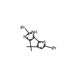 CC(C)c1nc2c([nH]1)-c1sc(C(C)C)cc1C2(C)C